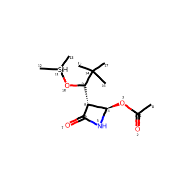 CC(=O)O[C@H]1NC(=O)[C@@H]1C(O[SiH](C)C)C(C)(C)C